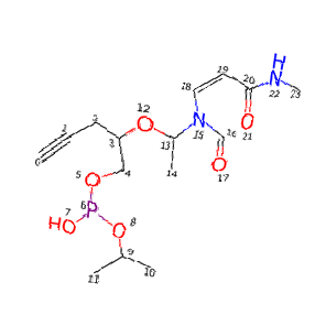 C#CCC(COP(O)OC(C)C)OC(C)N(C=O)/C=C\C(=O)NC